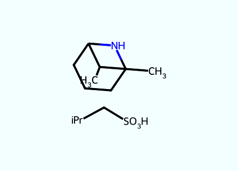 CC(C)CS(=O)(=O)O.CC1C2CCCC1(C)N2